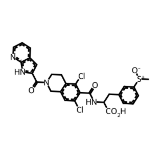 C[S+]([O-])c1cccc(CC(NC(=O)c2c(Cl)cc3c(c2Cl)CCN(C(=O)c2cc4cccnc4[nH]2)C3)C(=O)O)c1